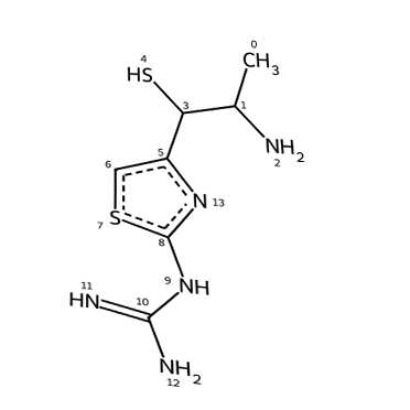 CC(N)C(S)c1csc(NC(=N)N)n1